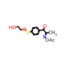 CC(=O)ON=C(C)C(=O)c1ccc(SOCCO)cc1